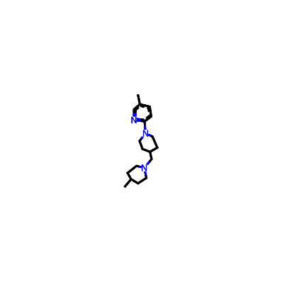 Cc1ccc(N2CCC(CN3CCC(C)CC3)CC2)nc1